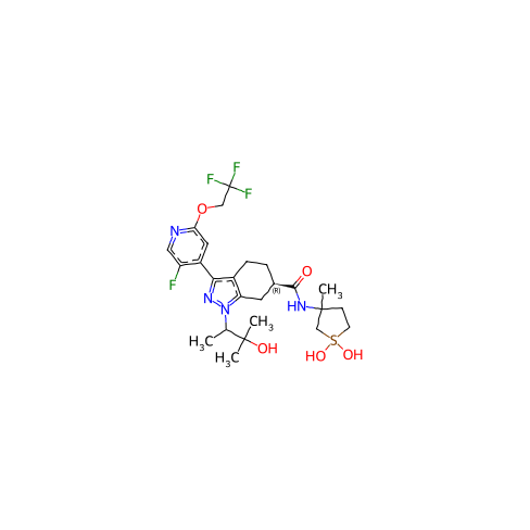 CC(n1nc(-c2cc(OCC(F)(F)F)ncc2F)c2c1C[C@H](C(=O)NC1(C)CCS(O)(O)C1)CC2)C(C)(C)O